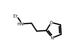 CCNCCc1ncco1